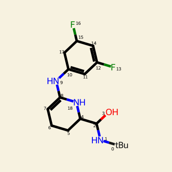 CC(C)(C)NC(O)C1CCC=C(NC2=CC(F)=CC(F)C2)N1